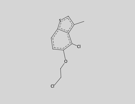 Cc1csc2ccc(OCCCl)c(Cl)c12